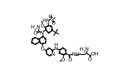 COc1cc(Nc2cc(Oc3ccc(N(C(N)=O)c4cc(C(C)(C)C)cc(NS(C)(=O)=O)c4OC)c4ccccc34)ccn2)ccc1C(=O)NCCCC(N)C(=O)O